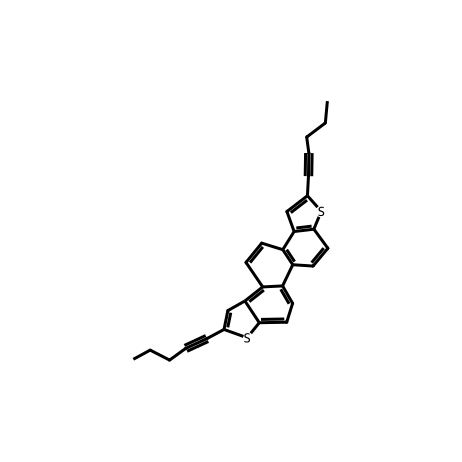 CCCC#Cc1cc2c(ccc3c2ccc2c4cc(C#CCCC)sc4ccc23)s1